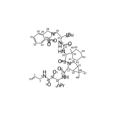 C=CCNC(=O)C(=O)C(CCC)NC(=O)C1C2C(CN1C(=O)C(NC(=O)NC(CN1Cc3ccccc3S1(=O)=O)C(C)(C)C)C1(C)CCCCC1)C2(C)C